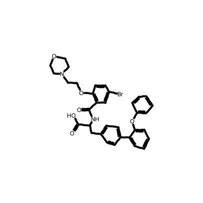 O=C(NC(Cc1ccc(-c2ccccc2Oc2ccccc2)cc1)C(=O)O)c1cc(Br)ccc1OCCN1CCOCC1